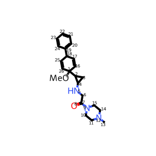 COC1(C2CC2NCC(=O)N2CCN(C)CC2)C=CC(c2ccccc2)C=C1